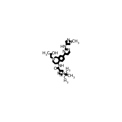 C[C@@H](O)CN1CC[C@H](NC(=O)c2cn(C(C)(C)C)nn2)c2ccc(-c3ccnc(Nc4cnn(C)c4)n3)cc2C1